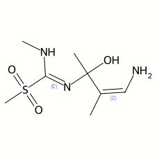 CN/C(=N\C(C)(O)/C(C)=C\N)S(C)(=O)=O